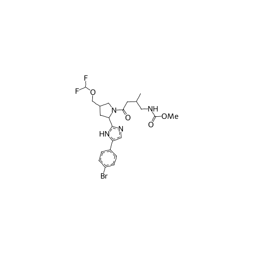 COC(=O)NCC(C)CC(=O)N1CC(COC(F)F)CC1c1ncc(-c2ccc(Br)cc2)[nH]1